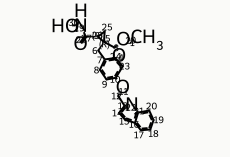 CCOC(=O)[C@@]1(Cc2ccc(OCc3ccc4ccccc4n3)cc2)C[C@@H]1C(=O)NO